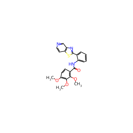 COc1ccc(C(=O)Nc2ccccc2-c2nc3cnccc3s2)c(OC)c1OC